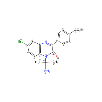 CCOC(=O)c1ccc(-c2nc3cc(Br)ccc3n(C(C)(C)N)c2=O)cc1